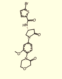 COc1cc(N2C[C@H](NC(=O)c3ccc(Br)s3)CC2=O)ccc1N1CCOCC1=O